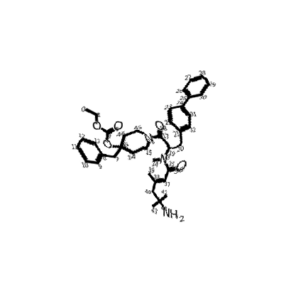 CCOC(=O)OC1(Cc2ccccc2)CCN(C(=O)[C@@H](Cc2ccc(-c3ccccc3)cc2)N(C)C(=O)/C=C(\C)CC(C)(C)N)CC1